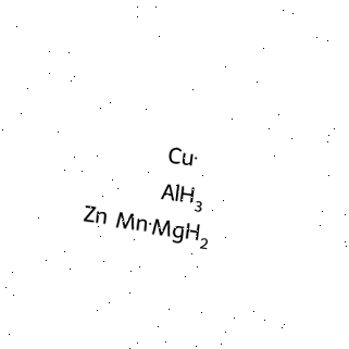 [AlH3].[Cu].[MgH2].[Mn].[Zn]